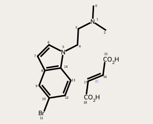 CN(C)CCn1ccc2cc(Br)ccc21.O=C(O)/C=C/C(=O)O